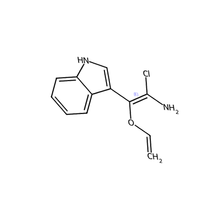 C=CO/C(=C(\N)Cl)c1c[nH]c2ccccc12